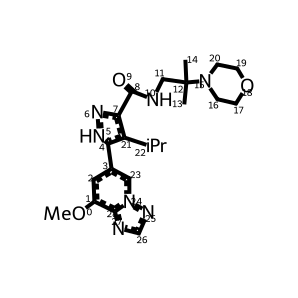 COc1cc(-c2[nH]nc(C(=O)NCC(C)(C)N3CCOCC3)c2C(C)C)cn2ncnc12